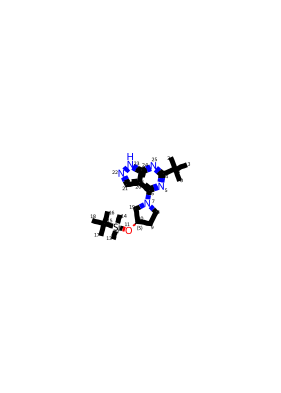 CC(C)(C)c1nc(N2CC[C@H](O[Si](C)(C)C(C)(C)C)C2)c2cn[nH]c2n1